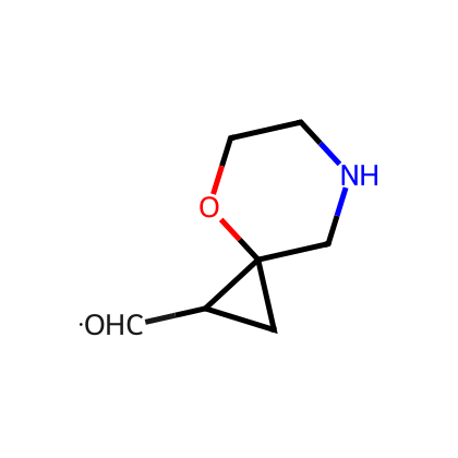 O=[C]C1CC12CNCCO2